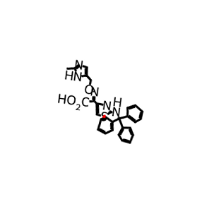 Cc1ncc(CON=C(C(=O)O)c2csc(NC(c3ccccc3)(c3ccccc3)c3ccccc3)n2)[nH]1